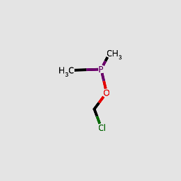 CP(C)OCCl